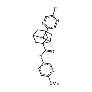 COc1ccc(NC(=O)C23CC4CC(C2)N(c2cnc(Cl)cn2)C3C4)cn1